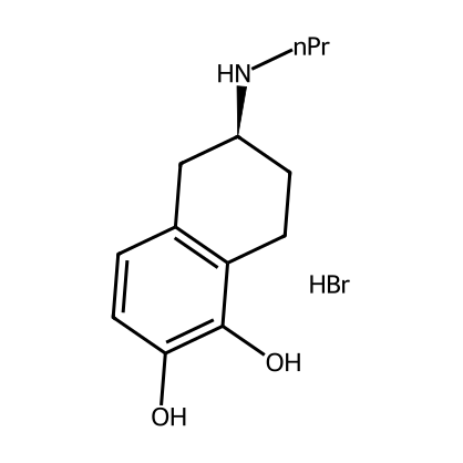 Br.CCCN[C@H]1CCc2c(ccc(O)c2O)C1